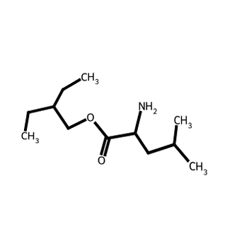 CCC(CC)COC(=O)C(N)CC(C)C